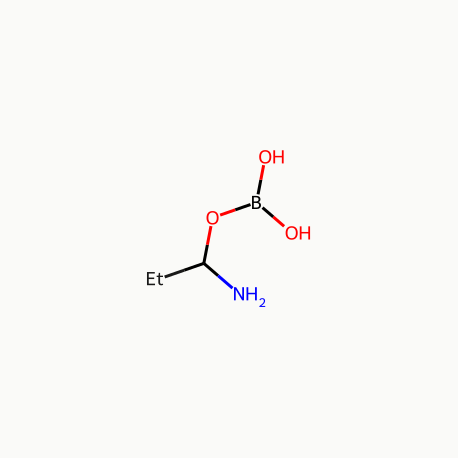 CCC(N)OB(O)O